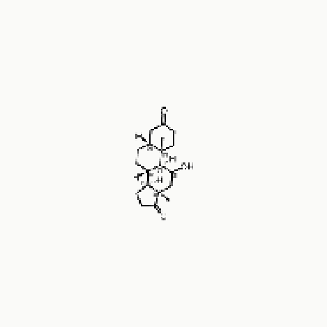 C[C@]12CCC(=O)C[C@H]1CC[C@@H]1[C@@H]2[C@@H](O)C[C@]2(C)C(=O)CC[C@@H]12